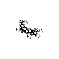 C[C@H]1[C@H](C)CC[C@]2(C(=O)O)CC[C@]3(C)C(=CC[C@@H]4[C@@]5(C)Cc6cc(C(N)=O)cnc6C(C)(C)[C@@H]5CC[C@]43C)[C@H]12